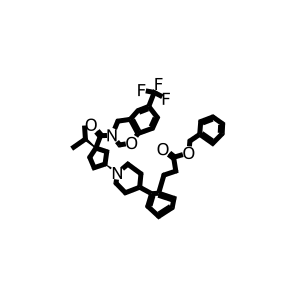 CC(C)[C@]1(C(=O)N2COc3ccc(C(F)(F)F)cc3C2)CC[C@@H](N2CCC(c3ccccc3CCC(=O)OCc3ccccc3)CC2)C1